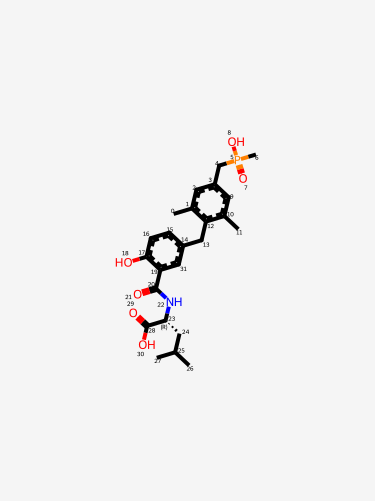 Cc1cc(CP(C)(=O)O)cc(C)c1Cc1ccc(O)c(C(=O)N[C@H](CC(C)C)C(=O)O)c1